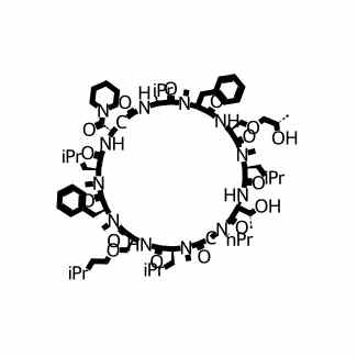 CCCN1CC(=O)N(C)[C@@H](CC(C)C)C(=O)N[C@@H](COCCC(C)C)C(=O)N(C)[C@@H](Cc2ccccc2)C(=O)N(C)[C@@H](CC(C)C)C(=O)N[C@H](C(=O)N2CCCCC2)CC(=O)N[C@H](C(C)C)C(=O)N(C)C(Cc2ccccc2)C(=O)N[C@@H](COC[C@H](C)O)C(=O)N(C)[C@@H](CC(C)C)C(=O)N[C@@H]([C@@H](C)O)C1=O